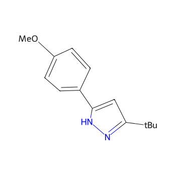 COc1ccc(-c2cc(C(C)(C)C)n[nH]2)cc1